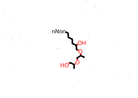 CCCCCCCCCCCCCC(O)COC(C)COC(C)CO